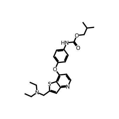 CCN(CC)Cc1cc2nccc(Oc3ccc(NC(=O)OCC(C)C)cc3)c2s1